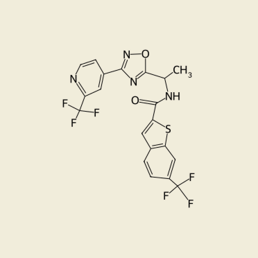 CC(NC(=O)c1cc2ccc(C(F)(F)F)cc2s1)c1nc(-c2ccnc(C(F)(F)F)c2)no1